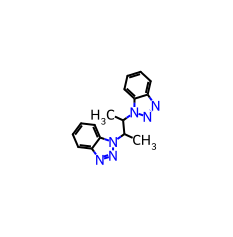 CC(C(C)n1nnc2ccccc21)n1nnc2ccccc21